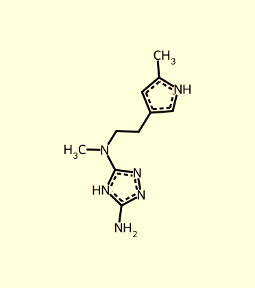 Cc1cc(CCN(C)c2nnc(N)[nH]2)c[nH]1